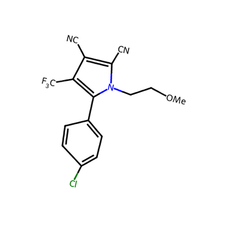 COCCn1c(C#N)c(C#N)c(C(F)(F)F)c1-c1ccc(Cl)cc1